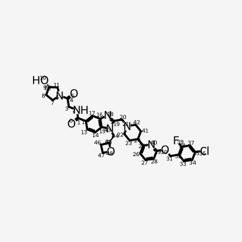 O=C(NCC(=O)N1CC[C@H](O)C1)c1ccc2c(c1)nc(CN1CCC(c3cccc(OCc4ccc(Cl)cc4F)n3)CC1)n2C[C@@H]1CCO1